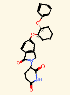 O=C1CCC(N2Cc3cc(O[C@@H]4CCCC[C@H]4Oc4ccccc4)ccc3C2=O)C(=O)N1